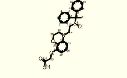 CC(c1ccccc1)(c1ccccc1)[S+]([O-])CCN1CCOc2c(OCC(=O)O)cccc21